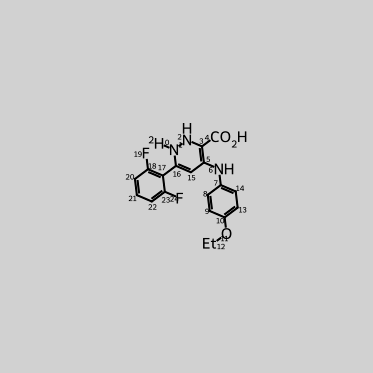 [2H]N1NC(C(=O)O)=C(Nc2ccc(OCC)cc2)C=C1c1c(F)cccc1F